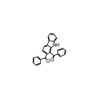 O=C(c1ccccc1)c1ccc2c([nH]c3ccccc32)c1C(=O)c1ccccc1